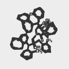 Cc1ccccc1CC(O)(CN(CC(O)(Cc1ccccc1C)C(c1ccccc1C)c1cccc2ccccc12)C(=O)C1(C(N)=O)CC1)C(c1ccccc1C)c1cccc2ccccc12